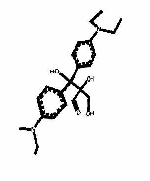 CCN(C)c1ccc(C(O)(c2ccc(N(CC)CC)cc2)C(O)(C=O)CO)cc1